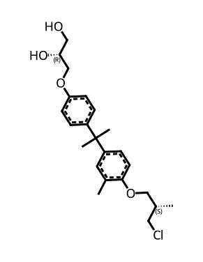 Cc1cc(C(C)(C)c2ccc(OC[C@H](O)CO)cc2)ccc1OC[C@H](C)CCl